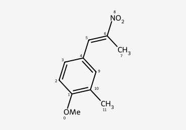 COc1ccc(C=C(C)[N+](=O)[O-])cc1C